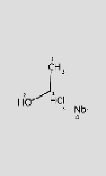 CCO.Cl.[Nb]